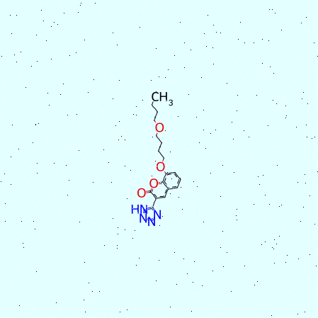 CCCCOCCCCOc1cccc2cc(-c3nnn[nH]3)c(=O)oc12